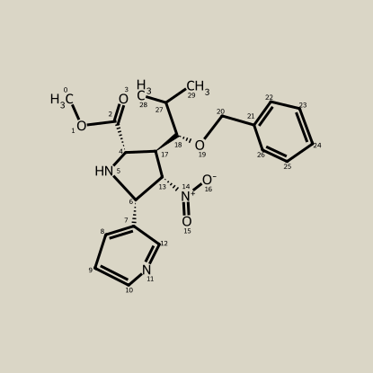 COC(=O)[C@H]1N[C@@H](c2cccnc2)[C@@H]([N+](=O)[O-])[C@@H]1[C@@H](OCc1ccccc1)C(C)C